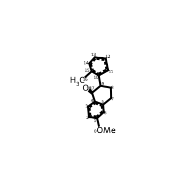 COc1ccc2c(c1)CCC(c1ccccc1C)C2=O